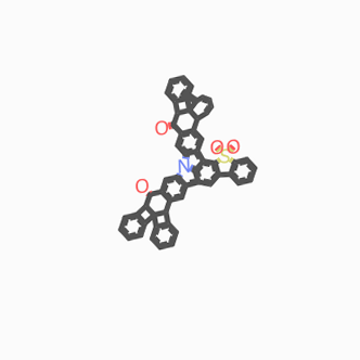 C=C1C=CC=CC2c3cc4c5c6c(cc7c8cc9c(cc8n(c4cc3C(=O)C3c4ccccc4C123)c75)C(=O)C1c2ccccc2C12c1ccccc1C92)-c1ccccc1S6(=O)=O